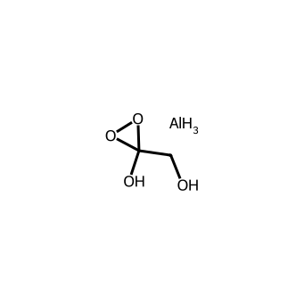 OCC1(O)OO1.[AlH3]